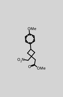 COC(=O)CC1(C[N+](=O)[O-])CC(c2ccc(OC)cc2)C1